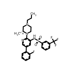 CCCN1CCN(c2ncc(-c3ccccc3F)cc2NS(=O)(=O)c2cccc(C(F)(F)F)c2)[C@H](C)C1